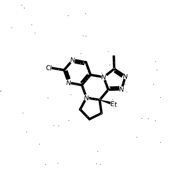 CC[C@@]12CCCN1c1nc(Cl)ncc1-n1c(C)nnc12